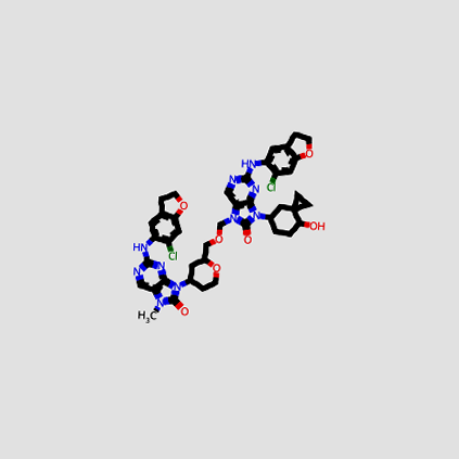 Cn1c(=O)n(C2CCOC(COCn3c(=O)n(C4CCC(O)C5(CC5)C4)c4nc(Nc5cc6c(cc5Cl)OCC6)ncc43)C2)c2nc(Nc3cc4c(cc3Cl)OCC4)ncc21